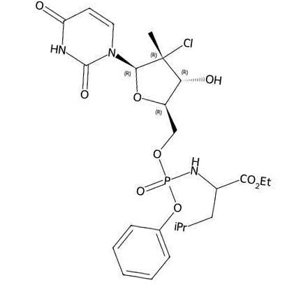 CCOC(=O)C(CC(C)C)NP(=O)(OC[C@H]1O[C@@H](n2ccc(=O)[nH]c2=O)[C@](C)(Cl)[C@@H]1O)Oc1ccccc1